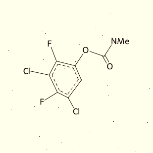 CNC(=O)Oc1cc(Cl)c(F)c(Cl)c1F